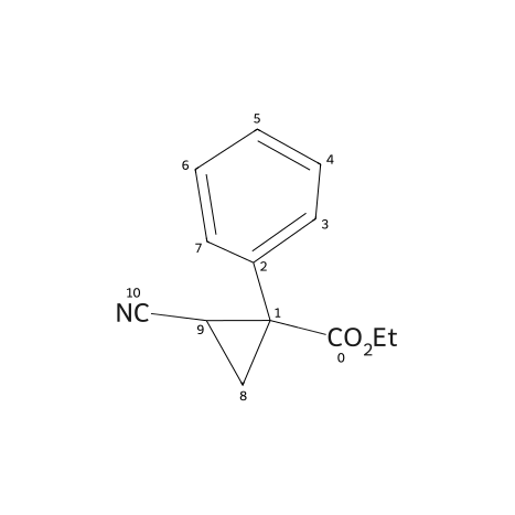 CCOC(=O)C1(c2ccccc2)CC1C#N